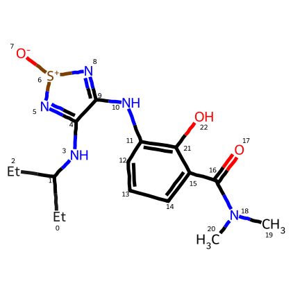 CCC(CC)Nc1n[s+]([O-])nc1Nc1cccc(C(=O)N(C)C)c1O